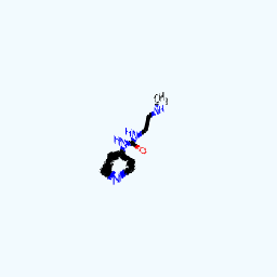 CNCCNC(=O)Nc1ccncc1